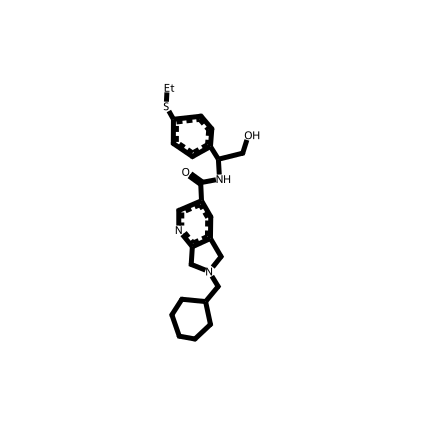 CCSc1ccc(C(CO)NC(=O)c2cnc3c(c2)CN(CC2CCCCC2)C3)cc1